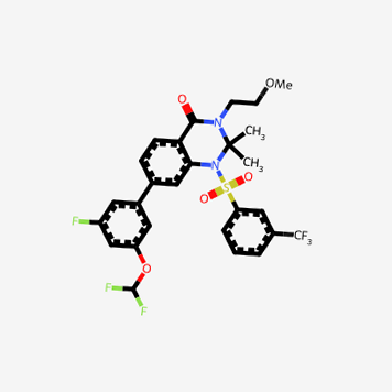 COCCN1C(=O)c2ccc(-c3cc(F)cc(OC(F)F)c3)cc2N(S(=O)(=O)c2cccc(C(F)(F)F)c2)C1(C)C